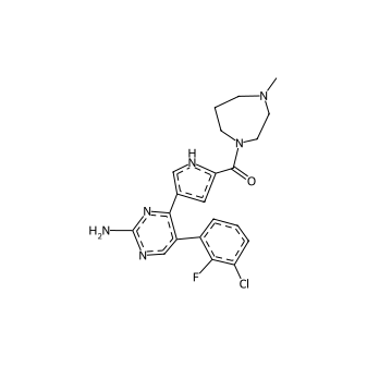 CN1CCCN(C(=O)c2cc(-c3nc(N)ncc3-c3cccc(Cl)c3F)c[nH]2)CC1